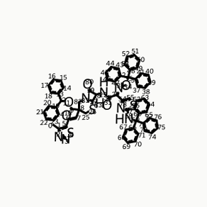 Cc1nnsc1C=CC1(C(=O)OC(c2ccccc2)c2ccccc2)CS[C@@H]2C(NC(=O)C(=NOC(c3ccccc3)(c3ccccc3)c3ccccc3)c3csc(NC(c4ccccc4)(c4ccccc4)c4ccccc4)n3)C(=O)N2C1